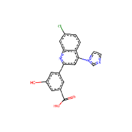 O=C(O)c1cc(O)cc(-c2cc(-n3ccnc3)c3ccc(Cl)cc3n2)c1